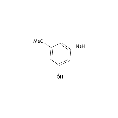 COc1cccc(O)c1.[NaH]